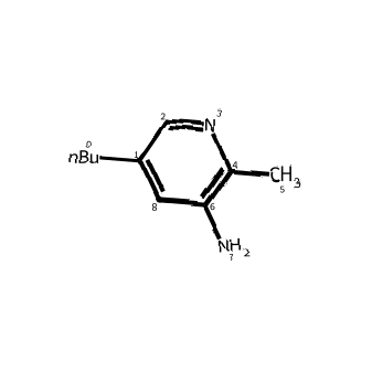 CCCCc1cnc(C)c(N)c1